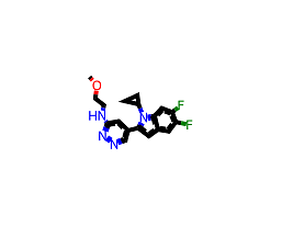 COCCNc1cc(-c2cc3cc(F)c(F)cc3n2C2CC2)cnn1